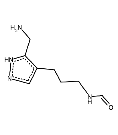 NCc1[nH]ncc1CCCNC=O